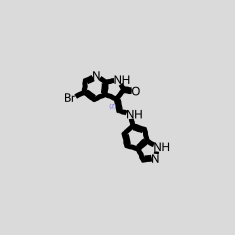 O=C1Nc2ncc(Br)cc2/C1=C/Nc1ccc2cn[nH]c2c1